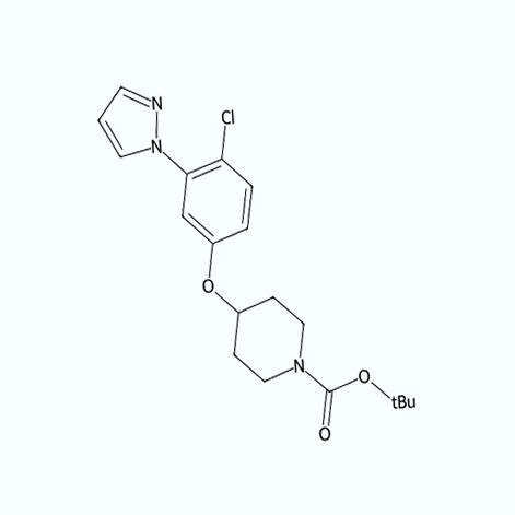 CC(C)(C)OC(=O)N1CCC(Oc2ccc(Cl)c(-n3cccn3)c2)CC1